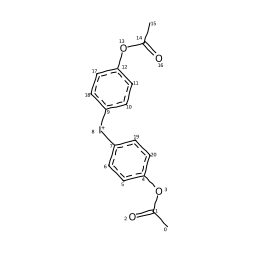 CC(=O)Oc1ccc([I+]c2ccc(OC(C)=O)cc2)cc1